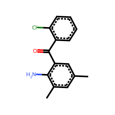 Cc1cc(C)c(N)c(C(=O)c2ccccc2Cl)c1